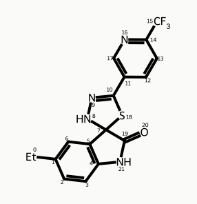 CCc1ccc2c(c1)C1(NN=C(c3ccc(C(F)(F)F)nc3)S1)C(=O)N2